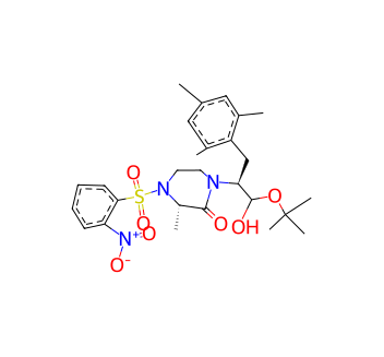 Cc1cc(C)c(C[C@@H](C(O)OC(C)(C)C)N2CCN(S(=O)(=O)c3ccccc3[N+](=O)[O-])[C@@H](C)C2=O)c(C)c1